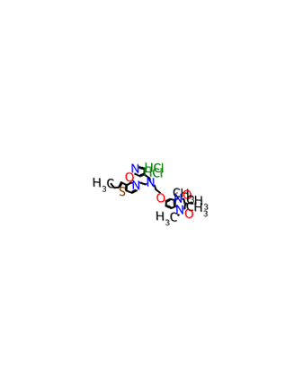 CCc1cc2c(=O)n(CCN(CCCOc3ccc4c(c3)N(C)C(=O)C(C)(C)C(=O)N4CC)Cc3ccncc3)ccc2s1.Cl.Cl